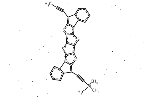 CC#CC1=c2sc3c(sc4c5sc6c(c5sc34)-c3ccccc3C=6C#C[Si](C)(C)C)c2-c2ccccc21